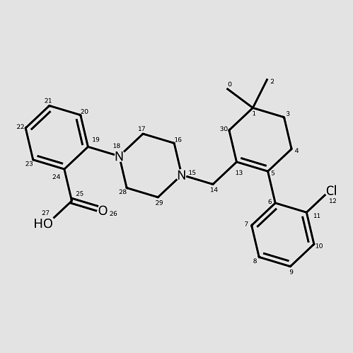 CC1(C)CCC(c2ccccc2Cl)=C(CN2CCN(c3ccccc3C(=O)O)CC2)C1